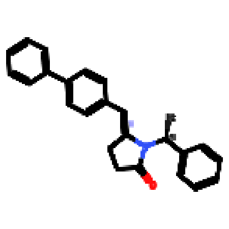 CC[C@@H](c1ccccc1)N1C(=O)CC/C1=C\c1ccc(-c2ccccc2)cc1